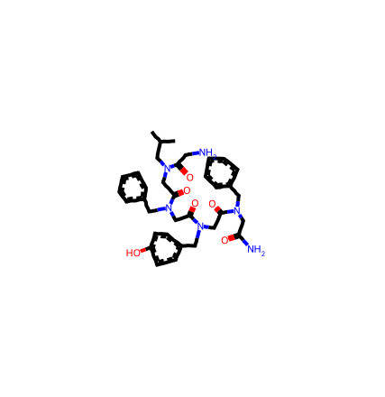 CC(C)CN(CC(=O)N(CC(=O)N(CC(=O)N(CC(N)=O)Cc1ccccc1)Cc1ccc(O)cc1)Cc1ccccc1)C(=O)CN